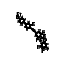 CCOc1ccc(-c2ccc(C#Cc3cc(F)c(C(F)(F)Oc4cc(F)c(F)c(F)c4)c(F)c3)c(F)c2)cc1